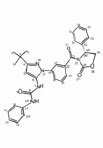 CC(C)(C)c1cc(NC(=O)Nc2ccccc2)n(-c2cccc(C(=O)N3C(=O)OC[C@H]3c3ccccc3)c2)n1